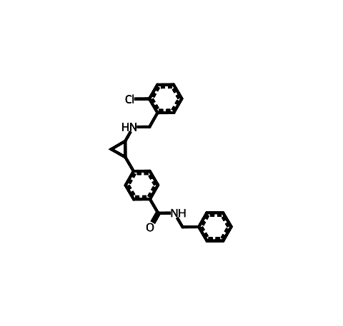 O=C(NCc1ccccc1)c1ccc(C2CC2NCc2ccccc2Cl)cc1